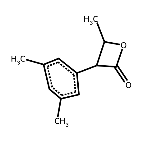 Cc1cc(C)cc(C2C(=O)OC2C)c1